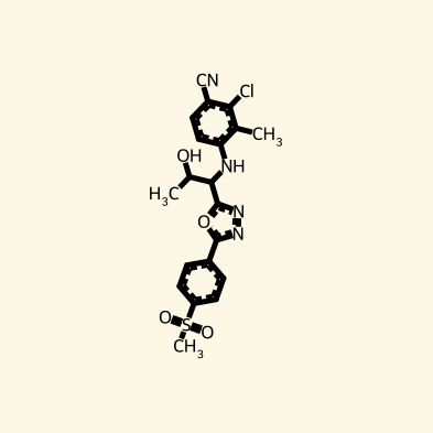 Cc1c(NC(c2nnc(-c3ccc(S(C)(=O)=O)cc3)o2)C(C)O)ccc(C#N)c1Cl